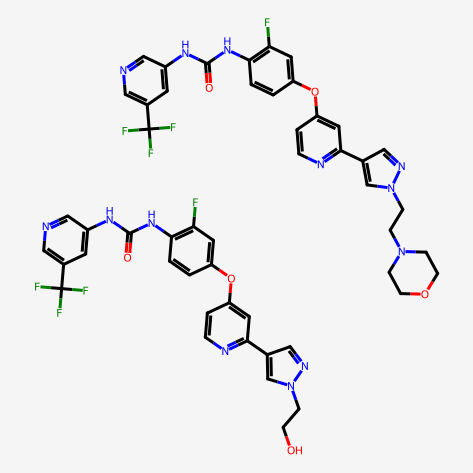 O=C(Nc1cncc(C(F)(F)F)c1)Nc1ccc(Oc2ccnc(-c3cnn(CCN4CCOCC4)c3)c2)cc1F.O=C(Nc1cncc(C(F)(F)F)c1)Nc1ccc(Oc2ccnc(-c3cnn(CCO)c3)c2)cc1F